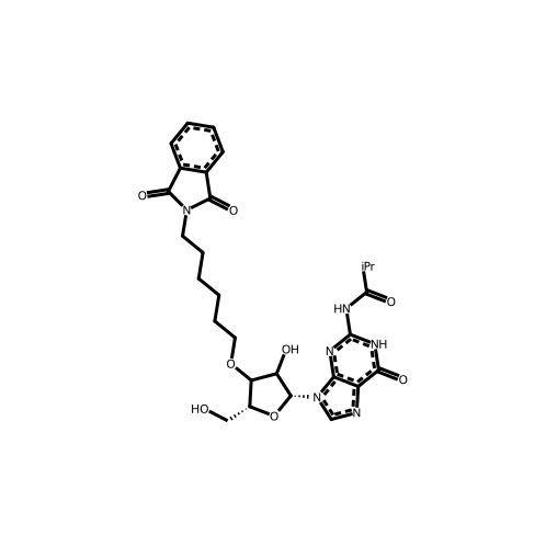 CC(C)C(=O)Nc1nc2c(ncn2[C@@H]2O[C@H](CO)C(OCCCCCCN3C(=O)c4ccccc4C3=O)C2O)c(=O)[nH]1